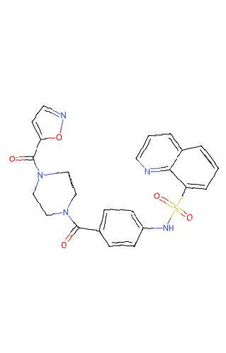 O=C(c1ccc(NS(=O)(=O)c2cccc3cccnc23)cc1)N1CCN(C(=O)c2ccno2)CC1